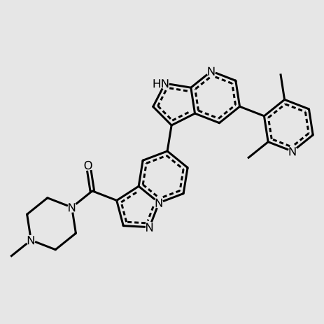 Cc1ccnc(C)c1-c1cnc2[nH]cc(-c3ccn4ncc(C(=O)N5CCN(C)CC5)c4c3)c2c1